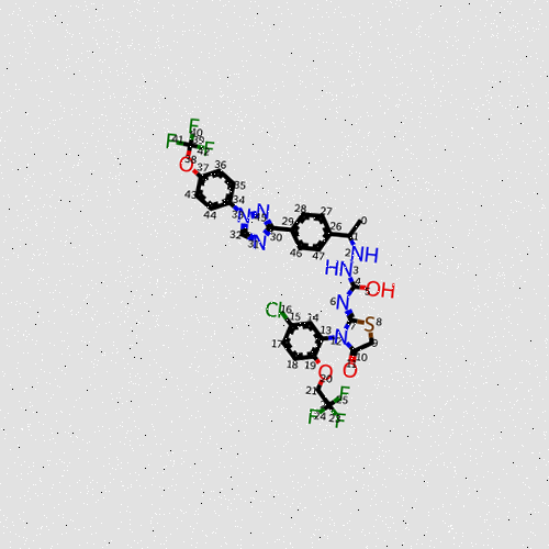 CC(NNC(O)/N=C1\SCC(=O)N1c1cc(Cl)ccc1OCC(F)(F)F)c1ccc(-c2ncn(-c3ccc(OC(F)(F)F)cc3)n2)cc1